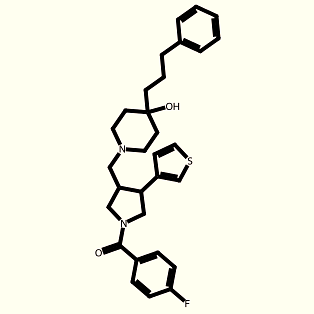 O=C(c1ccc(F)cc1)N1CC(CN2CCC(O)(CCCc3ccccc3)CC2)C(c2ccsc2)C1